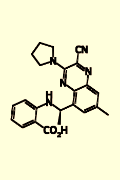 Cc1cc([C@@H](C)Nc2ccccc2C(=O)O)c2nc(N3CCCC3)c(C#N)nc2c1